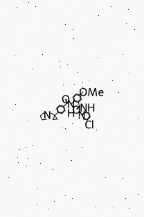 COc1ccc(NC(=O)c2ccc(C3(CN4CCCC4)CC3)cc2)c(C(=O)Nc2ccc(Cl)cn2)c1